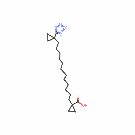 O=C(O)C1(CCCCCCCCCCCCC2(c3nnn[nH]3)CC2)CC1